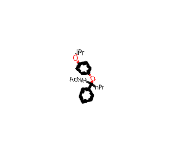 CCCC(NC(C)=O)(Oc1ccc(OC(C)C)cc1)c1ccccc1